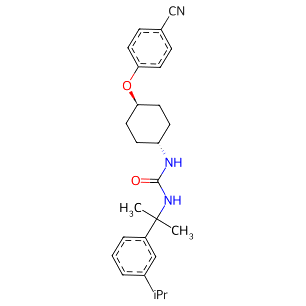 CC(C)c1cccc(C(C)(C)NC(=O)N[C@H]2CC[C@H](Oc3ccc(C#N)cc3)CC2)c1